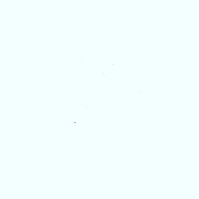 Cc1c(C#N)cccc1[C@@H](C)Nc1nnc(C)c2ccc(N3CCN4CCOC[C@@H]4C3)cc12